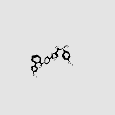 CC(C)N(C(=O)c1csc(C2CCN(C(=O)c3ccccc3-c3ccc(C(F)(F)F)cc3)CC2)n1)c1ccc(C(F)(F)F)cc1